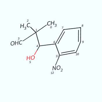 CC(C)(C=O)C(O)c1ccccc1[N+](=O)[O-]